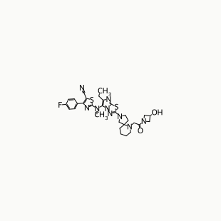 CCc1nc2sc(N3CCC4(CCCCN4CC(=O)N4CC(O)C4)C3)nn2c1N(C)c1nc(-c2ccc(F)cc2)c(C#N)s1